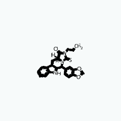 C=CCN1C(=O)[C@H]2CC3c4ccccc4NC3C(c3ccc4c(c3)OCO4)N2C1=S